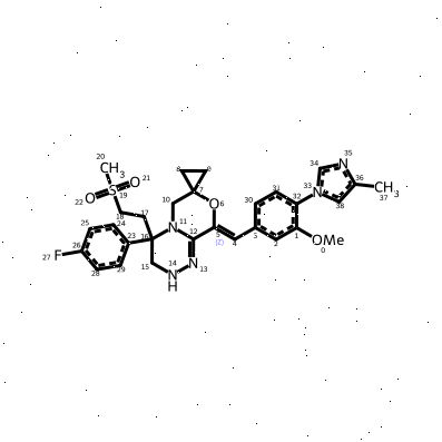 COc1cc(/C=C2\OC3(CC3)CN3C2=NNCC3(CCS(C)(=O)=O)c2ccc(F)cc2)ccc1-n1cnc(C)c1